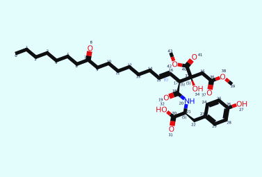 CCCCCCCC(=O)CCCCCC/C=C/[C@H](C(=O)N[C@@H](Cc1ccc(O)cc1)C(=O)O)[C@@](O)(CC(=O)OC)C(=O)OC